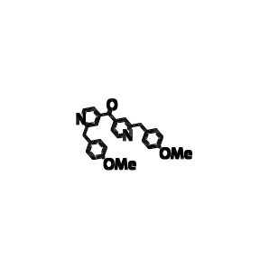 COc1ccc(Cc2cc(C(=O)c3ccnc(Cc4ccc(OC)cc4)c3)ccn2)cc1